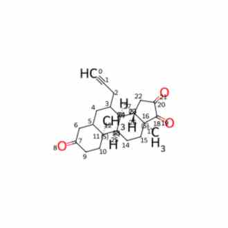 C#CCC1CC2CC(=O)CC[C@]2(C)[C@@H]2CC[C@]3(C)C(=O)C(=O)C[C@H]3[C@H]12